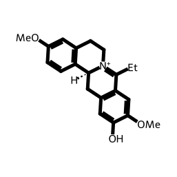 CCC1=[N+]2CCc3cc(OC)ccc3[C@@H]2Cc2cc(O)c(OC)cc21